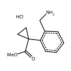 COC(=O)C1(c2ccccc2CN)CC1.Cl